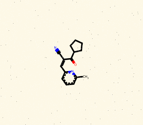 Cc1cccc(C=C(C#N)C(=O)C2CCCC2)n1